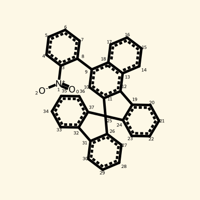 O=[N+]([O-])c1ccccc1-c1cc2c(c3ccccc13)-c1ccccc1C21c2ccccc2-c2ccccc21